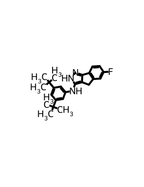 CC(C)(C)c1cc(Nc2[nH]nc3c2Cc2cc(F)ccc2-3)cc(C(C)(C)C)c1